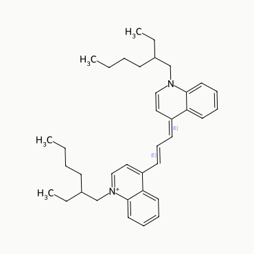 CCCCC(CC)CN1C=C/C(=C\C=C\c2cc[n+](CC(CC)CCCC)c3ccccc23)c2ccccc21